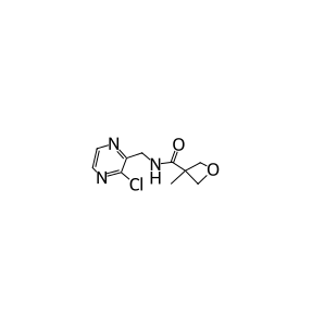 CC1(C(=O)NCc2nccnc2Cl)COC1